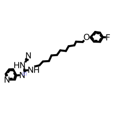 N#CN/C(=N\c1cccnc1)NCCCCCCCCCCCCOc1ccc(F)cc1